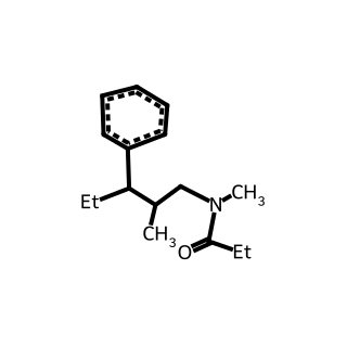 CCC(=O)N(C)CC(C)C(CC)c1ccccc1